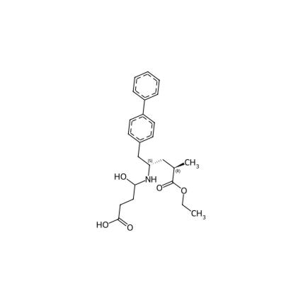 CCOC(=O)[C@H](C)C[C@@H](Cc1ccc(-c2ccccc2)cc1)NC(O)CCC(=O)O